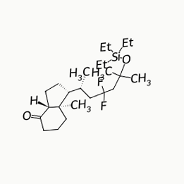 CC[Si](CC)(CC)OC(C)(C)CC(F)(F)C[C@@H](C)[C@H]1CC[C@H]2C(=O)CCC[C@]12C